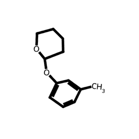 Cc1cccc(OC2CCCCO2)c1